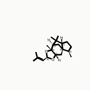 CC(C)=C[C@@H]1O[C@H]2C[C@@]34C[C@H](C(C)(C)[C@@H]3CC[C@H]4C)[C@@]2(C)O1